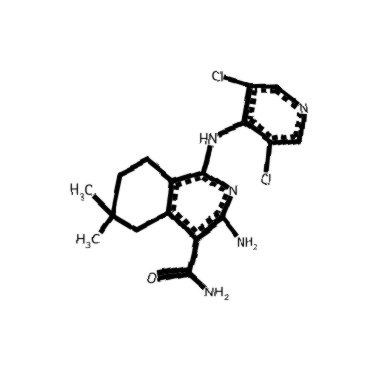 CC1(C)CCc2c(Nc3c(Cl)cncc3Cl)nc(N)c(C(N)=O)c2C1